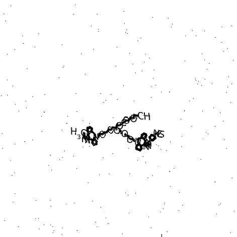 C#CCOCCOCCOCC(COCCCOCCN1Cc2ccccc2-c2c(nnn2C)-c2ccccc21)OCCOCCOCCN1Cc2ccccc2-c2c(nnn2-c2ccc(N=C=S)cc2)-c2ccccc21